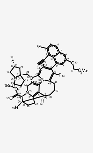 C#Cc1c(F)ccc2cc(OCOC)cc(C3=C(F)C=C(OC[C@@]45CCCN4C[C@H](F)C5)N4C5=NCN6C7=C5[C@@H](CCCC4=C3F)[C@H](CC7)N6C(=O)OC(C)(C)C)c12